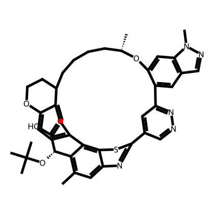 Cc1cc2nc3sc2c(c1[C@H](OC(C)(C)C)C(=O)O)-c1ccc2c(c1)C(CCCC[C@H](C)Oc1cc4c(cnn4C)cc1-c1cc-3cnn1)CCO2